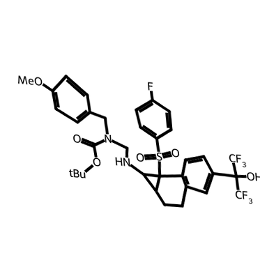 COc1ccc(CN(CNC2C3CCc4cc(C(O)(C(F)(F)F)C(F)(F)F)ccc4C32S(=O)(=O)c2ccc(F)cc2)C(=O)OC(C)(C)C)cc1